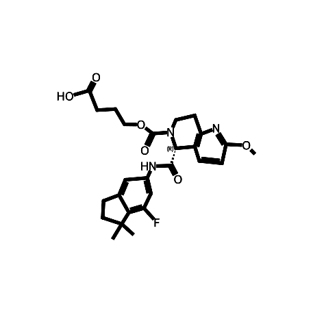 COc1ccc2c(n1)CCN(C(=O)OCCCC(=O)O)[C@H]2C(=O)Nc1cc(F)c2c(c1)CCC2(C)C